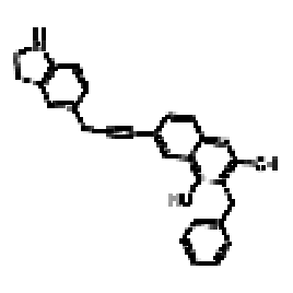 Oc1cc2ccc(C#CCc3ccc4c(c3)CCN4)cc2c(O)c1Cc1ccccc1